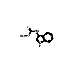 CC(C)(C)OC(=O)Nc1c[nH]c2ccccc12